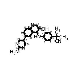 CC(C)(C#N)c1ccc(Nc2c(O)cnc3ccc(-c4cnc(N)nc4)cc23)cc1